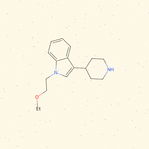 CCOCCn1cc(C2CCNCC2)c2ccccc21